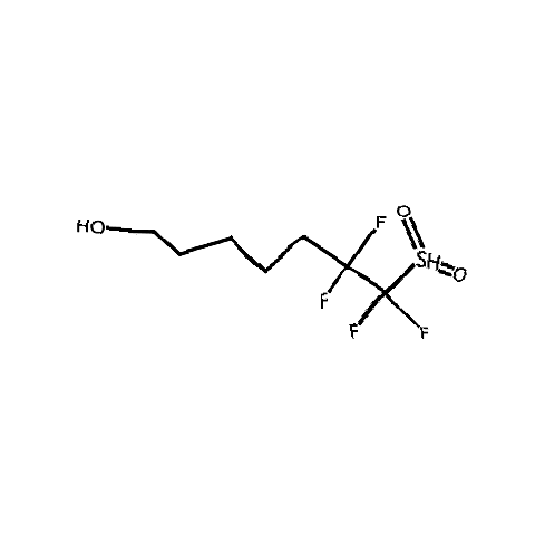 O=[SH](=O)C(F)(F)C(F)(F)CCCCCO